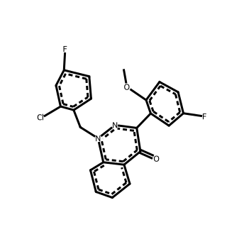 COc1ccc(F)cc1-c1nn(Cc2ccc(F)cc2Cl)c2ccccc2c1=O